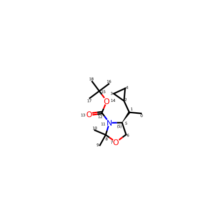 CC(C1CC1)[C@H]1COC(C)(C)N1C(=O)OC(C)(C)C